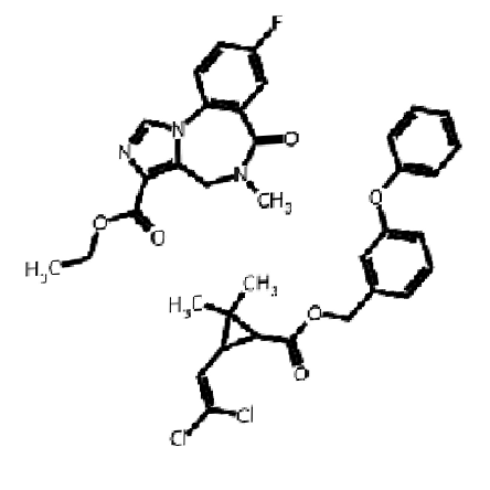 CC1(C)C(C=C(Cl)Cl)C1C(=O)OCc1cccc(Oc2ccccc2)c1.CCOC(=O)c1ncn2c1CN(C)C(=O)c1cc(F)ccc1-2